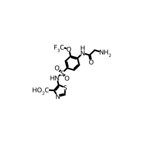 NCC(=O)Nc1ccc(S(=O)(=O)Nc2scnc2C(=O)O)cc1OC(F)(F)F